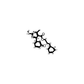 CSc1nc(C)c(C(=O)OCCCc2ccccc2)c(-c2cccc(Cl)c2)n1